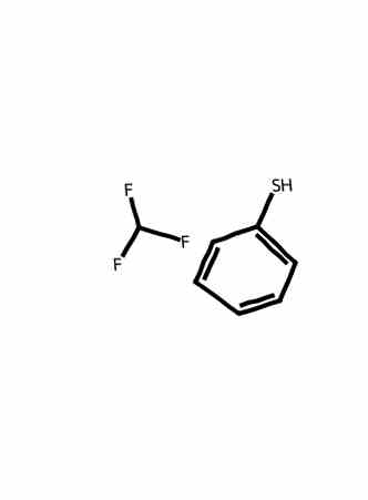 FC(F)F.Sc1ccccc1